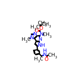 CC(=O)NC(C)c1cccc(-c2cc3c(nc(N(C)C(=O)OC(C)(C)C)c4ncn(C)c43)[nH]2)c1